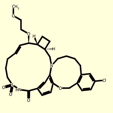 COCCO[C@@H]1/C=C/CCCS(=O)(=O)NC(=O)c2ccc3c(c2)N(CCCCc2cc(Cl)ccc2CO3)C[C@@H]2CC[C@H]21